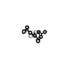 N#Cc1cc(-n2c3ccccc3c3ccccc32)ccc1-c1ccc(-n2c3ccccc3c3ccc4c(c32)-c2ccccc2C4c2ccccc2)cc1C#N